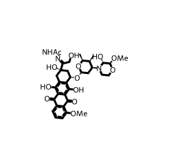 COc1cccc2c1C(=O)c1c(O)c3c(c(O)c1C2=O)C[C@@](O)(/C(CO)=N/NC(C)=O)C[C@@H]3O[C@H]1C[C@H](N2CCO[C@H](OC)[C@H]2O)[C@H](C)[C@H](C)O1